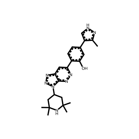 Cc1n[nH]cc1-c1ccc(-c2cc3nnn(C4CC(C)(C)NC(C)(C)C4)c3nn2)c(O)c1